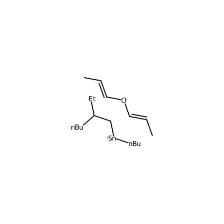 CC=COC=CC.CCC[CH2][Sn][CH2]C(CC)CCCC